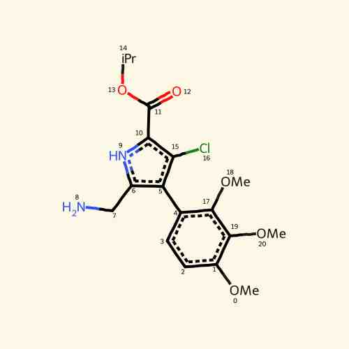 COc1ccc(-c2c(CN)[nH]c(C(=O)OC(C)C)c2Cl)c(OC)c1OC